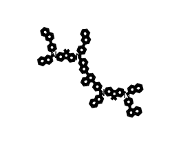 CC1(C)c2cc(N(c3ccc(-c4cccc5ccccc45)cc3)c3ccc4ccccc4c3)ccc2-c2ccc(N(c3ccc(-c4ccc(-c5ccc6cc(N(c7ccc(-c8ccc9ccccc9c8)cc7)c7ccc8c(c7)C(C)(C)c7cc(N(c9ccc(-c%10ccc%11ccccc%11c%10)cc9)c9ccc%10ccccc%10c9)ccc7-8)ccc6c5)c5ccccc45)cc3)c3ccc4ccccc4c3)cc21